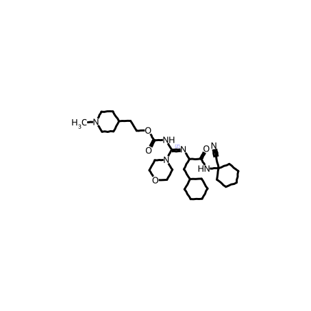 CN1CCC(CCOC(=O)N/C(=N/C(CC2CCCCC2)C(=O)NC2(C#N)CCCCC2)N2CCOCC2)CC1